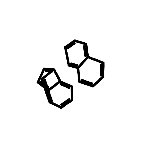 C1=C2C=c3cccc2c3=C1.c1ccc2ccccc2c1